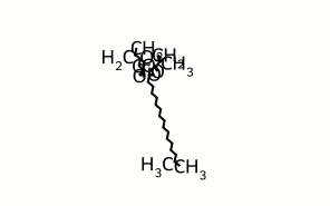 C=C(C)C(=O)[O][Ti](=[O])([O]C(=O)C(=C)C)[C](=O)CCCCCCCCCCCCCCC(C)C